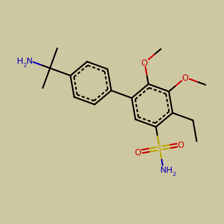 CCc1c(S(N)(=O)=O)cc(-c2ccc(C(C)(C)N)cc2)c(OC)c1OC